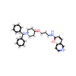 O=C(/C=C\c1cccnc1)NCCCOC1CCN(C(c2ccccc2)c2ccccc2)CC1